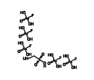 CCS(=O)(=O)O.O=[As](O)(O)F.O=[As](O)(O)F.O=[As](O)(O)F.O=[As](O)(O)F.O=[As](O)(O)F.[LiH]